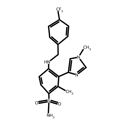 Cc1c(S(N)(=O)=O)ccc(NCc2ccc(C(F)(F)F)cc2)c1-c1cn(C)cn1